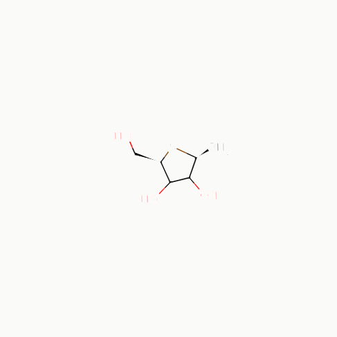 B[C@@H]1S[C@H](CO)C(O)C1O